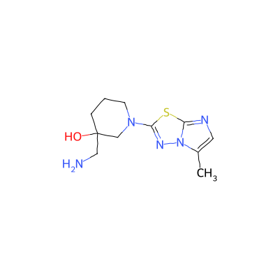 Cc1cnc2sc(N3CCCC(O)(CN)C3)nn12